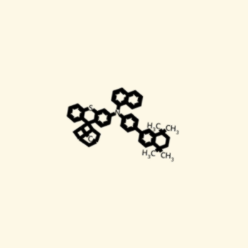 CC1(C)CCC(C)(C)c2cc(-c3ccc(N(c4ccc5c(c4)Sc4ccccc4C54C5CC6CC7CC4C75C6)c4cccc5ccccc45)cc3)ccc21